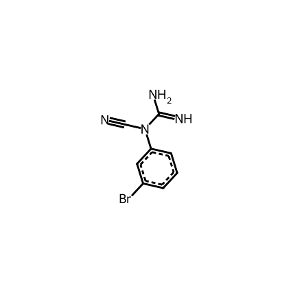 N#CN(C(=N)N)c1cccc(Br)c1